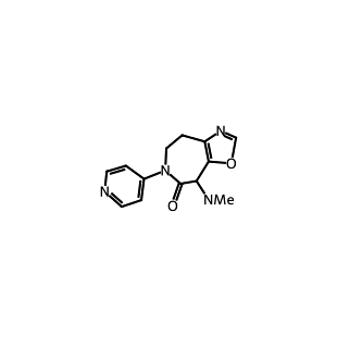 CNC1C(=O)N(c2ccncc2)CCc2ncoc21